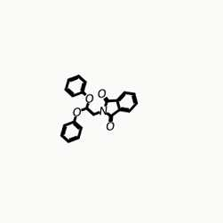 O=C1c2ccccc2C(=O)N1CC(Oc1ccccc1)Oc1ccccc1